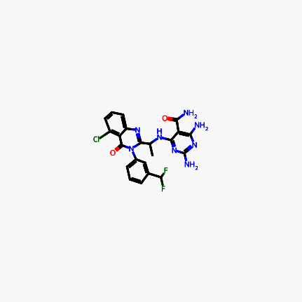 CC(Nc1nc(N)nc(N)c1C(N)=O)c1nc2cccc(Cl)c2c(=O)n1-c1cccc(C(F)F)c1